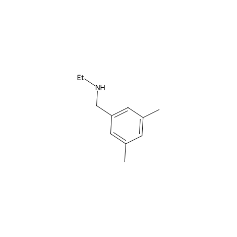 CCNCc1cc(C)cc(C)c1